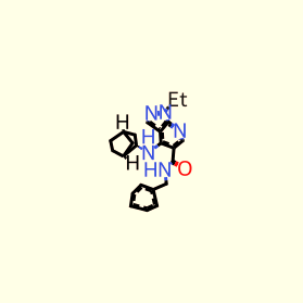 CCn1ncc2c(N[C@@H]3C[C@H]4CC[C@@H]3C4)c(C(=O)NCc3ccccc3)cnc21